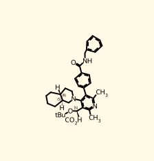 Cc1nc(C)c([C@H](OC(C)(C)C)C(=O)O)c(N2CC[C@H]3CCCC[C@@H]3C2)c1-c1ccc(C(=O)NCc2ccccc2)cc1